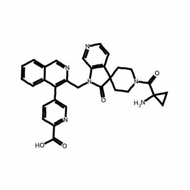 NC1(C(=O)N2CCC3(CC2)C(=O)N(Cc2ncc4ccccc4c2-c2ccc(C(=O)O)nc2)c2cnccc23)CC1